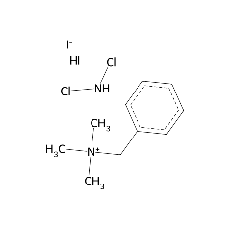 C[N+](C)(C)Cc1ccccc1.ClNCl.I.[I-]